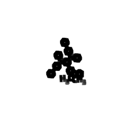 CC1(C)c2ccccc2-c2cc(-c3cc(N(c4ccccc4)c4ccc(-c5ccccc5)cc4)cc(N(c4ccccc4)c4ccc(-c5ccccc5)cc4)c3)ccc21